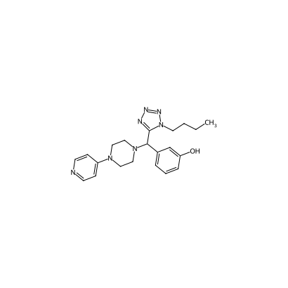 CCCCn1nnnc1C(c1cccc(O)c1)N1CCN(c2ccncc2)CC1